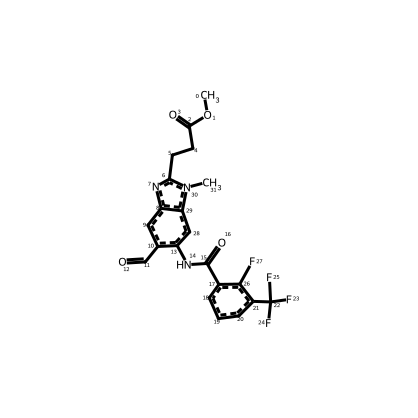 COC(=O)CCc1nc2cc(C=O)c(NC(=O)c3cccc(C(F)(F)F)c3F)cc2n1C